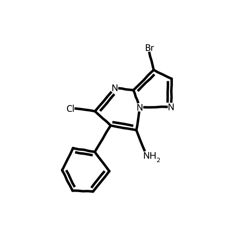 Nc1c(-c2ccccc2)c(Cl)nc2c(Br)cnn12